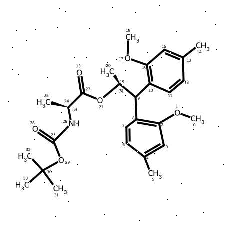 COc1cc(C)ccc1C(c1ccc(C)cc1OC)[C@H](C)OC(=O)[C@H](C)NC(=O)OC(C)(C)C